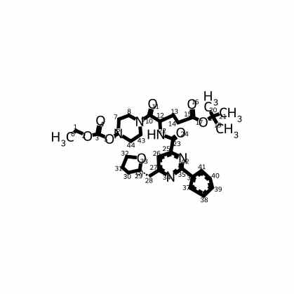 CCOC(=O)ON1CCN(C(=O)C(CCC(=O)OC(C)(C)C)NC(=O)c2cc(C[C@@H]3CCCO3)nc(-c3ccccc3)n2)CC1